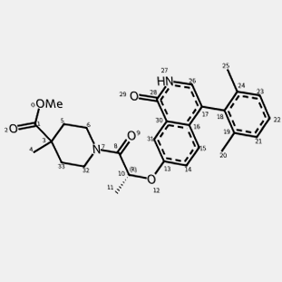 COC(=O)C1(C)CCN(C(=O)[C@@H](C)Oc2ccc3c(-c4c(C)cccc4C)c[nH]c(=O)c3c2)CC1